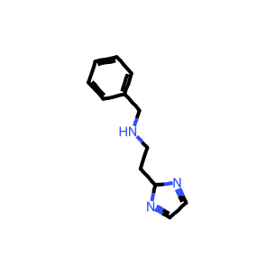 C1=NC(CCNCc2ccccc2)N=C1